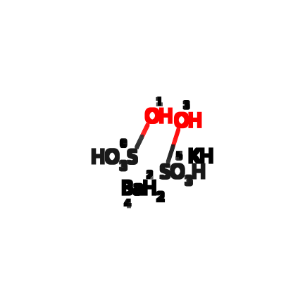 O=S(=O)(O)O.O=S(=O)(O)O.[BaH2].[KH]